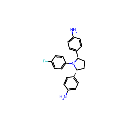 Nc1ccc([C@H]2CC[C@H](c3ccc(N)cc3)N2c2ccc(F)cc2)cc1